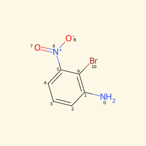 Nc1cccc([N+](=O)[O-])c1Br